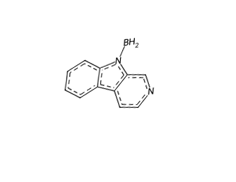 Bn1c2ccccc2c2ccncc21